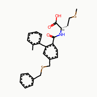 CSCC[C@H](NC(=O)c1ccc(CSCc2ccccc2)cc1-c1ccccc1C)C(=O)O